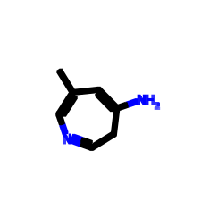 CC1=CN=CCC(N)=C1